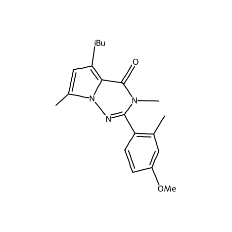 CCC(C)c1cc(C)n2nc(-c3ccc(OC)cc3C)n(C)c(=O)c12